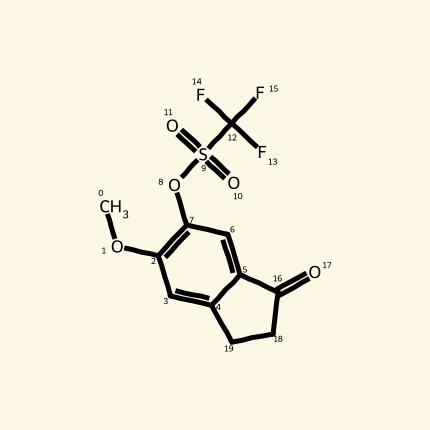 COc1cc2c(cc1OS(=O)(=O)C(F)(F)F)C(=O)CC2